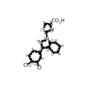 O=C(O)c1csc(-n2nc(-c3ccc(Cl)c(Cl)c3)c3ccccc32)n1